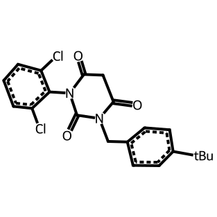 CC(C)(C)c1ccc(CN2C(=O)CC(=O)N(c3c(Cl)cccc3Cl)C2=O)cc1